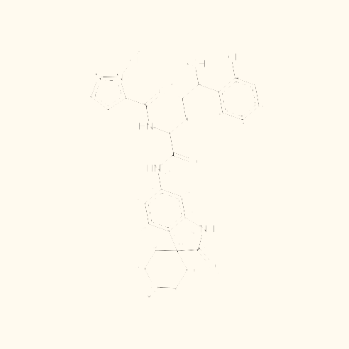 Cc1ccccc1C(C)CCC(NC(=O)c1ccnn1C)C(=O)Nc1ccc2c(c1)NC(=O)C21CCOCC1